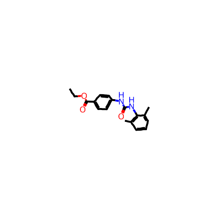 CCOC(=O)c1ccc(NC(=O)Nc2c(C)cccc2C)cc1